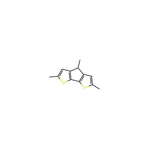 Cc1cc2c(s1)-c1sc(C)cc1C2C